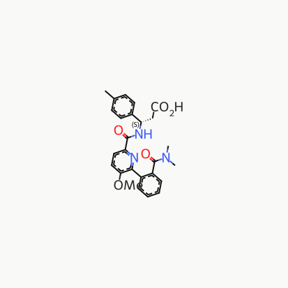 COc1ccc(C(=O)N[C@@H](CC(=O)O)c2ccc(C)cc2)nc1-c1ccccc1C(=O)N(C)C